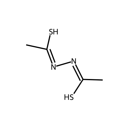 CC(S)=NN=C(C)S